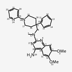 COc1cc2nc(N(C)CC3(c4ccccc4)CCN(c4ccccn4)CC3)nc(N)c2cc1OC